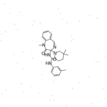 Cc1cccc(NC(=O)NC2(N3CCCC(C)(C)C3)N=Cc3ccccc3N(C)C2=O)c1